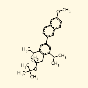 COc1ccc2cc(-c3cc(C(C)C)c(CC(=O)OC(C)(C)C)c(C(C)C)c3)ccc2c1